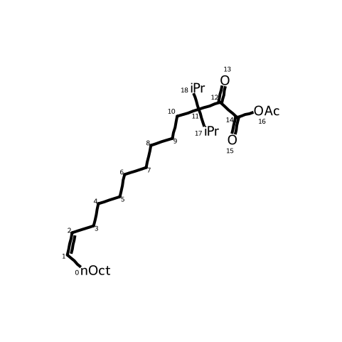 CCCCCCCC/C=C\CCCCCCCCC(C(=O)C(=O)OC(C)=O)(C(C)C)C(C)C